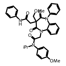 COCC1(CC(=O)Nc2ccccc2)C(=O)N(CC(=O)N(c2ccc(OC)cc2)C(C)C)c2ccccc2N(c2ccccc2)C1=O